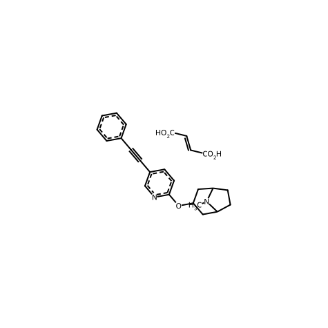 CN1C2CCC1CC(Oc1ccc(C#Cc3ccccc3)cn1)C2.O=C(O)/C=C/C(=O)O